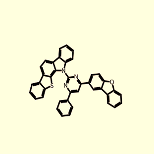 c1ccc(-c2cc(-c3ccc4oc5ccccc5c4c3)nc(-n3c4ccccc4c4ccc5c6ccccc6sc5c43)n2)cc1